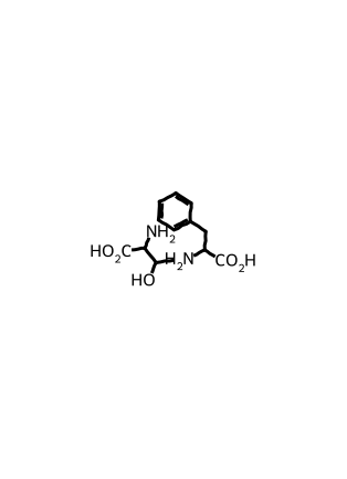 CC(O)C(N)C(=O)O.NC(Cc1ccccc1)C(=O)O